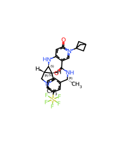 C[C@@H](NC(=O)c1cn(C23CC(C2)C3)c(=O)cc1N[C@H]1[C@@H]2CN(C)C[C@@H]21)c1cccc(S(F)(F)(F)(F)F)c1